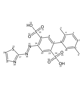 Cc1[c]cc(C)c(-c2cc(S(=O)(=O)O)c(N=Nc3nccs3)cc2S(=O)(=O)O)c1